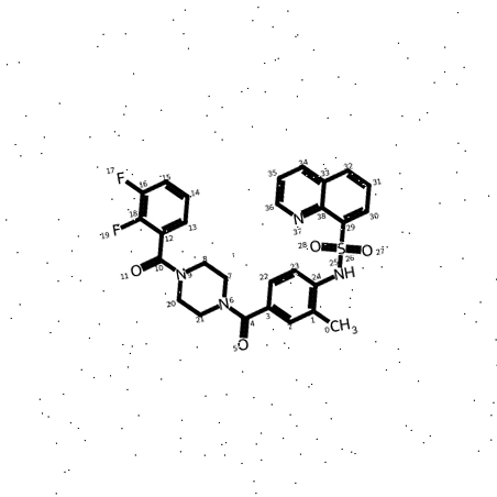 Cc1cc(C(=O)N2CCN(C(=O)c3cccc(F)c3F)CC2)ccc1NS(=O)(=O)c1cccc2cccnc12